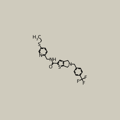 CCSc1ccc(CNC(=O)c2cc3c(s2)CN(Cc2ccc(C(F)(F)F)cc2)C3)nc1